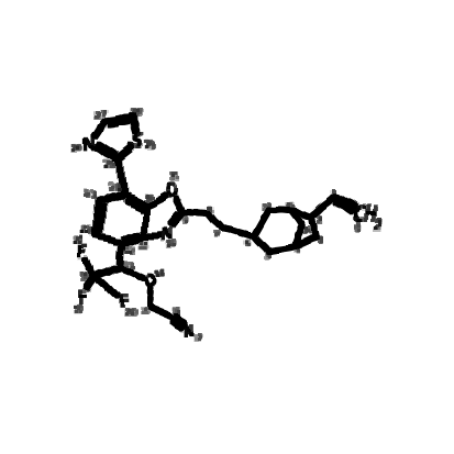 C=CC1CC2CC(CCc3nc4c(C(OCC#N)C(F)(F)F)ccc(-c5nccs5)c4o3)CC1C2